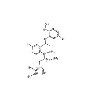 CCN/C(Br)=C(\C=N)C/C(=C/N)N(N)c1ccc(F)cc1C(C)Oc1cc(Br)cnc1NO